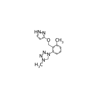 Cc1cccc(N2CN(C)N=N2)c1COc1cc[nH]n1